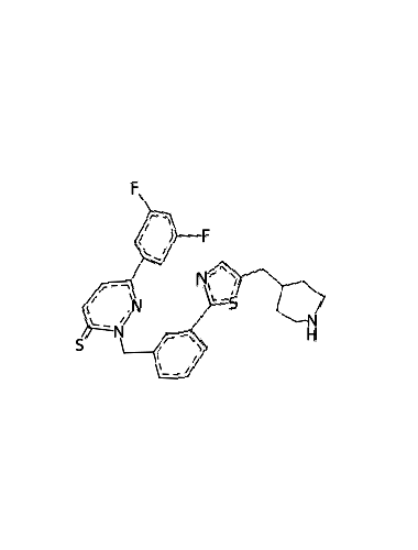 Fc1cc(F)cc(-c2ccc(=S)n(Cc3cccc(-c4ncc(CC5CCNCC5)s4)c3)n2)c1